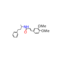 COc1ccc(C=CC(=O)NC(C)CCc2ccccc2)cc1OC